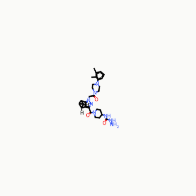 Cc1cccc(N2CCN(C(=O)Cn3nc(C(=O)N4CCC(NC(=O)NN)CC4)c4c3C3C5[C@H]3[C@H]45)CC2)c1C